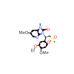 CCOc1cc([C@H](CS(C)(=O)=O)n2c(=O)n(C)c3cc(OC)cnc32)ccc1OC